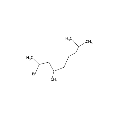 CC(C)CCCC(C)CC(C)Br